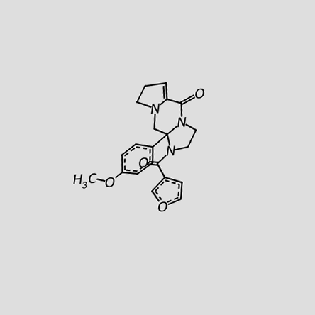 COc1ccc(C23CN4CCC=C4C(=O)N2CCN3C(=O)c2ccoc2)cc1